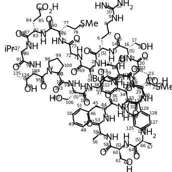 CC[C@H](C)[C@H](NC(=O)[C@H](CCCNC(=N)N)NC(=O)[C@H](CO)NC(=O)[C@H](CCSC)NC(=O)CNC(=O)[C@H](Cc1ccccc1)NC(=O)[C@H](Cc1ccccc1)NC(=O)[C@H](C)NC(=O)[C@H](CO)NC(=O)[C@H](C)N)C(=O)NCC(=O)N[C@@H](CCSC)C(=O)N[C@@H](CCC(=O)O)C(=O)N[C@H](C(=O)N[C@H](C(=O)N1CCC[C@H]1C(=O)N[C@@H](CO)C(=O)NCC(=O)N[C@H](C(=O)N[C@@H](Cc1c[nH]c2ccccc12)C(=O)O)[C@@H](C)O)[C@@H](C)O)C(C)C